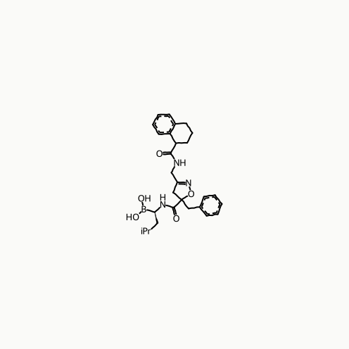 CC(C)C[C@H](NC(=O)C1(Cc2ccccc2)CC(CNC(=O)C2CCCc3ccccc32)=NO1)B(O)O